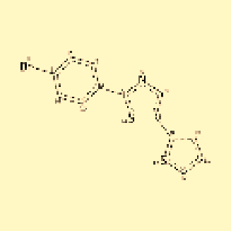 Brc1ccc(-c2ncc(-c3cccs3)s2)cc1